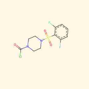 O=C(Cl)N1CCN(S(=O)(=O)c2c(F)cccc2F)CC1